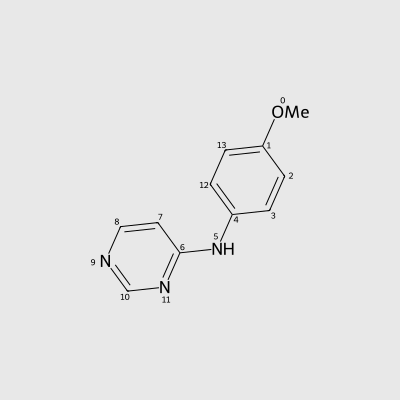 COc1ccc(Nc2ccncn2)cc1